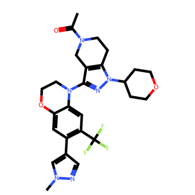 CC(=O)N1CCc2c(c(N3CCOc4cc(-c5cnn(C)c5)c(C(F)(F)F)cc43)nn2C2CCOCC2)C1